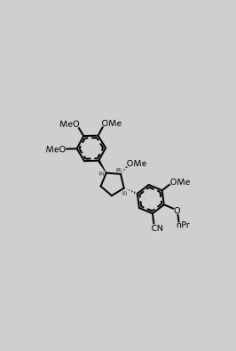 CCCOc1c(C#N)cc([C@@H]2CC[C@@H](c3cc(OC)c(OC)c(OC)c3)[C@@H]2OC)cc1OC